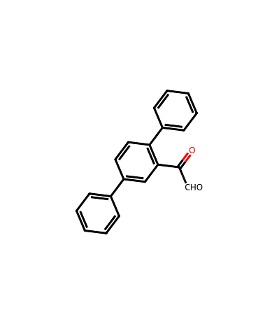 O=CC(=O)c1cc(-c2ccccc2)ccc1-c1ccccc1